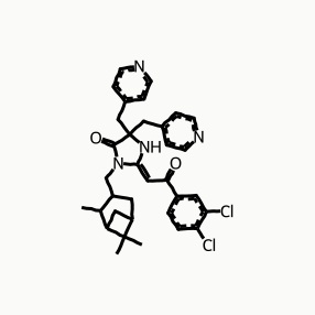 CC1C(CN2C(=O)C(Cc3ccncc3)(Cc3ccncc3)NC2=CC(=O)c2ccc(Cl)c(Cl)c2)CC2CC1C2(C)C